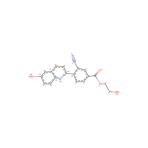 N#Cc1cc(C(=O)OCCO)ccc1-c1ccc2cc(O)ccc2n1